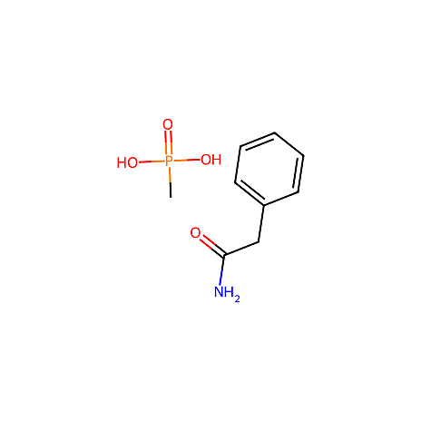 CP(=O)(O)O.NC(=O)Cc1ccccc1